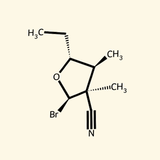 CC[C@H]1O[C@H](Br)[C@](C)(C#N)[C@@H]1C